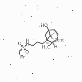 CCC[C@H](C)[C@@H]1C2(O)CCC[C@H](C)[C@]1(CCCNS(=O)(=O)CC(C)C)C2